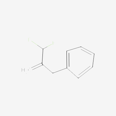 C=C(Cc1ccccc1)C(F)F